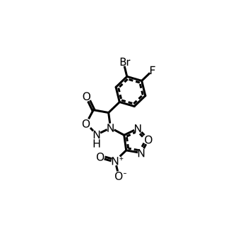 O=C1ONN(c2nonc2[N+](=O)[O-])C1c1ccc(F)c(Br)c1